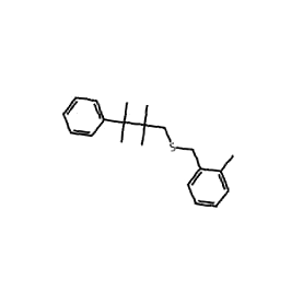 Cc1ccccc1CSCC(C)(C)C(C)(C)c1ccccc1